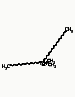 CCCCCCCCCCCCCCCCCCCc1n(CCCCCCCCCCCCCCCC)cc[n+]1C(C)C